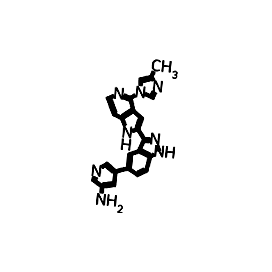 Cc1cn(-c2nccc3[nH]c(-c4n[nH]c5ccc(-c6cncc(N)c6)cc45)cc23)cn1